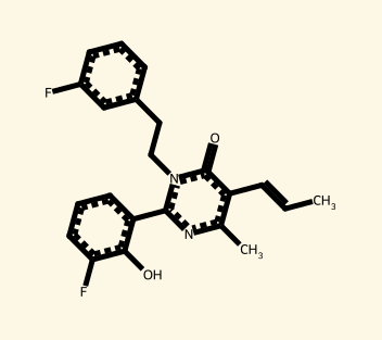 CC=Cc1c(C)nc(-c2cccc(F)c2O)n(CCc2cccc(F)c2)c1=O